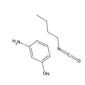 CCCCN=C=O.Nc1cccc(O)c1